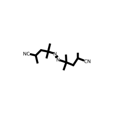 CC(C#N)CC(C)(C)N=NC(C)(C)CC(C)C#N